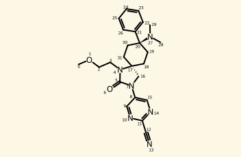 COCCN1C(=O)N(c2cnc(C#N)nc2)C[C@]12CC[C@](c1ccccc1)(N(C)C)CC2